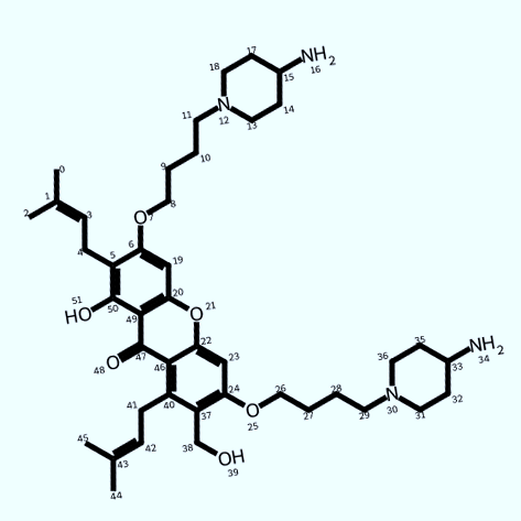 CC(C)=CCc1c(OCCCCN2CCC(N)CC2)cc2oc3cc(OCCCCN4CCC(N)CC4)c(CO)c(CC=C(C)C)c3c(=O)c2c1O